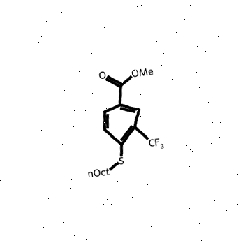 CCCCCCCCSc1ccc(C(=O)OC)cc1C(F)(F)F